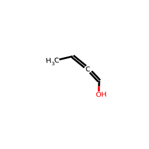 CC=C=CO